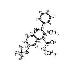 COC(=O)c1c(C)c(-c2ccccc2)nc2ccc(SC(F)(F)F)cc12